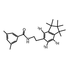 [2H]c1c([2H])c2c(c([2H])c1CCNC(=O)c1cc(C)cc(C)c1)C(C)(C)C(C)(C)C2(C)C